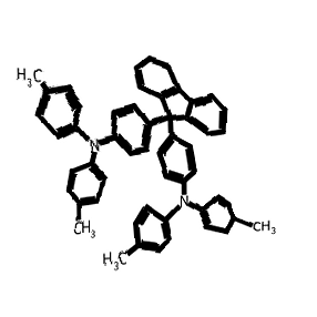 Cc1ccc(N(C2=CCC(C)C=C2)c2ccc(C3(c4ccc(N(c5ccc(C)cc5)c5ccc(C)cc5)cc4)C4=C(CCC=C4)c4ccccc43)cc2)cc1